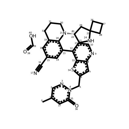 Cc1cnn(Cc2cc3nccc(-c4cc(C#N)cc5c4N([C@H]4CNC6(CCC6)C4)CCC5)c3s2)c(=O)c1.O=CO